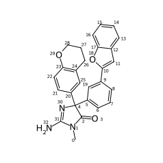 CN1C(=O)C(c2cccc(-c3cc4ccccc4o3)c2)(c2ccc3c(c2)CCCO3)N=C1N